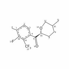 Cc1ccc(C(=O)[C@@H]2CCC(C)CO2)c(C(F)(F)F)c1F